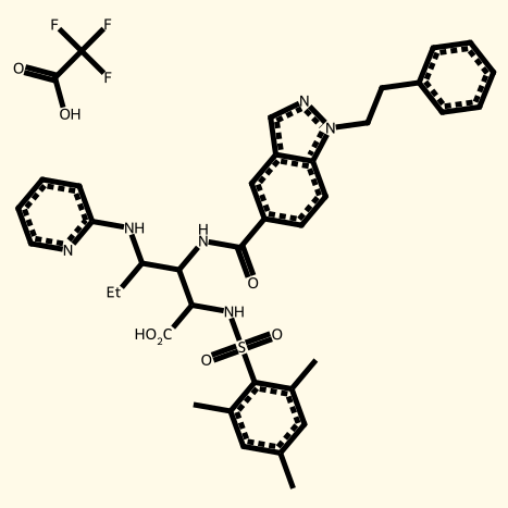 CCC(Nc1ccccn1)C(NC(=O)c1ccc2c(cnn2CCc2ccccc2)c1)C(NS(=O)(=O)c1c(C)cc(C)cc1C)C(=O)O.O=C(O)C(F)(F)F